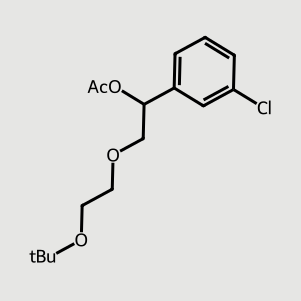 CC(=O)OC(COCCOC(C)(C)C)c1cccc(Cl)c1